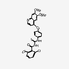 COc1cc2nccc(Oc3ccc(NC(=S)NC(=O)c4c(Cl)cccc4Cl)cc3)c2cc1OC